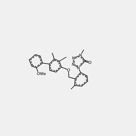 COc1ccccc1-c1ccc(OCc2c(C)cccc2-n2nnn(C)c2=O)c(C)c1C